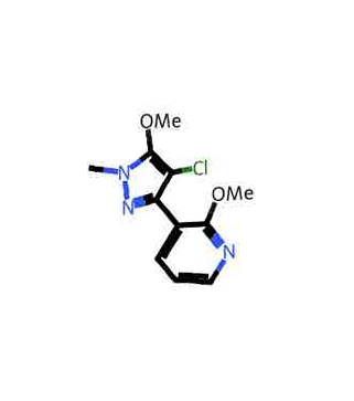 COc1ncccc1-c1nn(C)c(OC)c1Cl